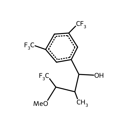 COC(C(C)C(O)c1cc(C(F)(F)F)cc(C(F)(F)F)c1)C(F)(F)F